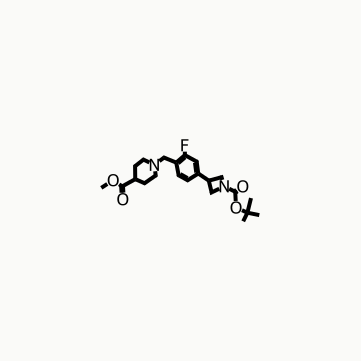 COC(=O)C1CCN(Cc2ccc(C3CN(C(=O)OC(C)(C)C)C3)cc2F)CC1